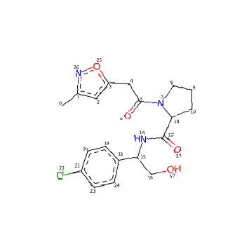 Cc1cc(CC(=O)N2CCCC2C(=O)NC(CO)c2ccc(Cl)cc2)on1